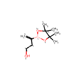 C=C(CCO)B1OC(C)(C)C(C)(C)O1